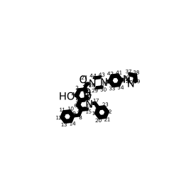 O=C(/C=C(/O)c1cc(Cc2ccccc2)cn(Cc2ccccc2)c1=O)C(=O)N1CCN(c2ccc(-n3cccn3)cc2)CC1